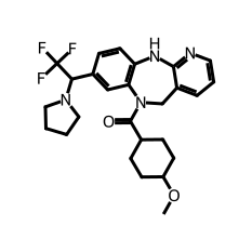 COC1CCC(C(=O)N2Cc3cccnc3Nc3ccc(C(N4CCCC4)C(F)(F)F)cc32)CC1